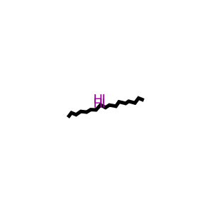 CCCCCCCCCCCCCCCCC.I.I